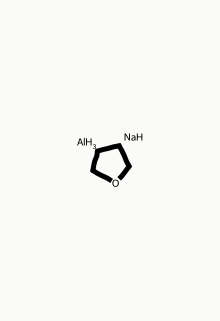 C1CCOC1.[AlH3].[NaH]